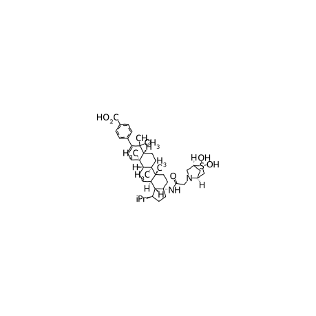 CC(C)[C@@H]1CC[C@]2(NC(=O)CN3C[C@@H]4C[C@H]3CS4(O)O)CC[C@]3(C)[C@H](CC[C@@H]4[C@@]5(C)CC=C(c6ccc(C(=O)O)cc6)C(C)(C)[C@@H]5CC[C@]43C)[C@@H]12